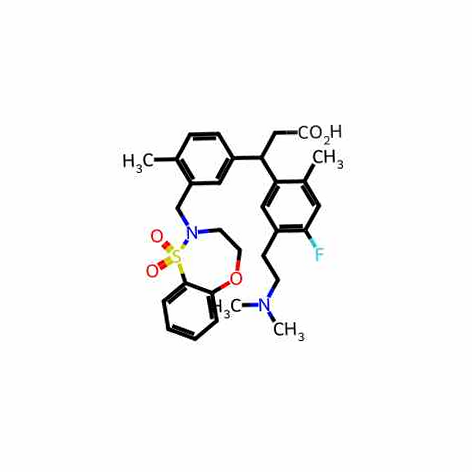 Cc1ccc(C(CC(=O)O)c2cc(CCN(C)C)c(F)cc2C)cc1CN1CCOc2ccccc2S1(=O)=O